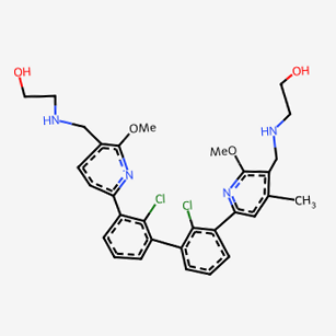 COc1nc(-c2cccc(-c3cccc(-c4cc(C)c(CNCCO)c(OC)n4)c3Cl)c2Cl)ccc1CNCCO